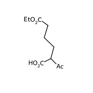 CCOC(=O)CCCC(C(C)=O)C(=O)O